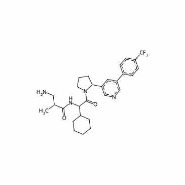 CC(CN)C(=O)NC(C(=O)N1CCCC1c1cncc(-c2ccc(C(F)(F)F)cc2)c1)C1CCCCC1